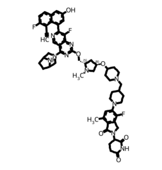 C#Cc1c(F)ccc2cc(O)cc(-c3ncc4c(N5CC6CCC(C5)N6)nc(OC[C@@H]5C[C@@H](OC6CCN(CC7CCN(c8cc(C)c9c(c8F)CN(C8CCC(=O)NC8=O)C9=O)CC7)CC6)CN5C)nc4c3F)c12